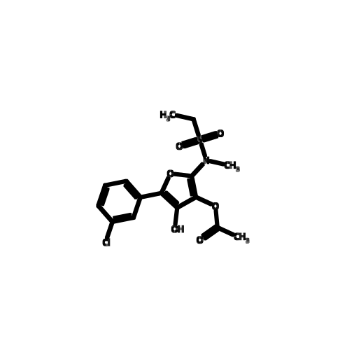 CCS(=O)(=O)N(C)c1oc(-c2cccc(Cl)c2)c(O)c1OC(C)=O